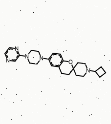 c1cnc(N2CCN(c3ccc4c(c3)CCC3(CCN(C5CCC5)CC3)O4)CC2)cn1